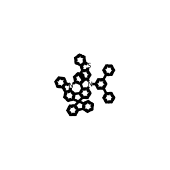 c1ccc(-c2cc(-c3ccccc3)cc(N(c3ccc4c(c3)sc3ccccc34)c3ccc4c5c3-c3ccccc3-n3c6ccccc6c6ccc(c-5c63)C43c4ccccc4-c4ccccc43)c2)cc1